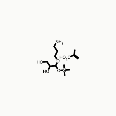 C=C(C)C(=O)O.C[Si](C)(C)OC(OCCC[SiH3])C(O)CO